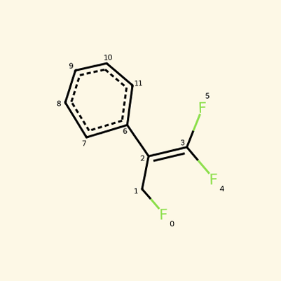 FCC(=C(F)F)c1ccccc1